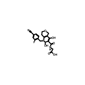 N#Cc1ccc(CN2C3=C(COCC3)C(O)=C(C(=O)NCC(=O)O)C2O)c(F)c1